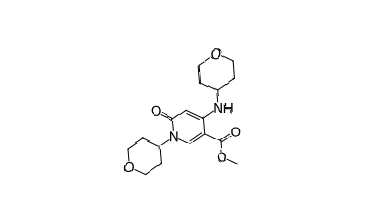 COC(=O)c1cn(C2CCOCC2)c(=O)cc1NC1CCOCC1